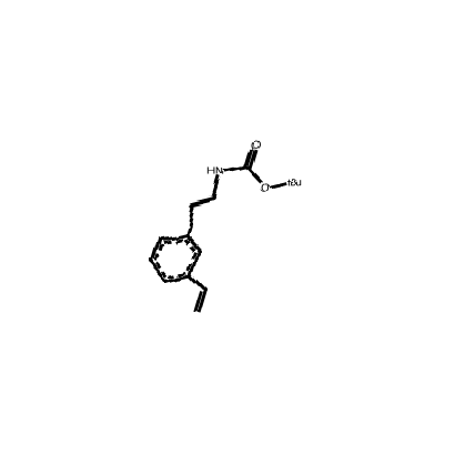 C=Cc1cccc(CCNC(=O)OC(C)(C)C)c1